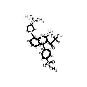 Cc1nc2c(N3CCC(N(C)C)C3)cccc2c(-c2ccc(S(C)(=O)=O)cc2)c1C(=O)C(F)(F)F